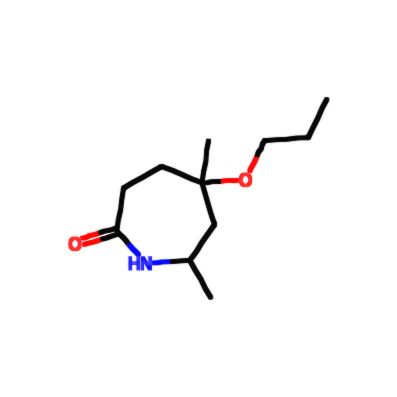 CCCOC1(C)CCC(=O)NC(C)C1